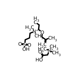 C=C(C)COC(CC)[N+](C)(C)CCCS(=O)(=O)O.C[N+](C)(C)CC(=O)O